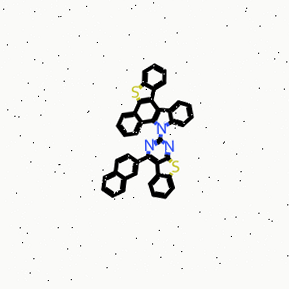 c1ccc2cc(-c3nc(-n4c5ccccc5c5c6c7ccccc7sc6c6ccccc6c54)nc4sc5ccccc5c34)ccc2c1